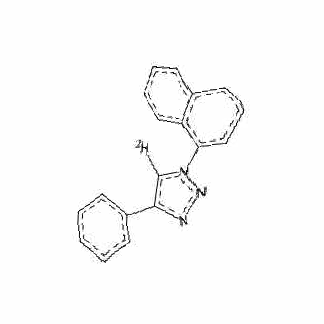 [2H]c1c(-c2ccccc2)nnn1-c1cccc2ccccc12